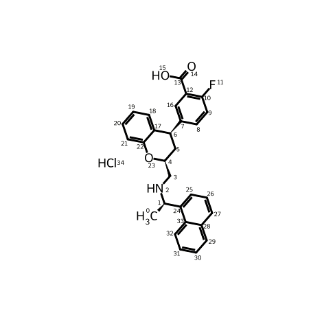 C[C@@H](NC[C@@H]1C[C@H](c2ccc(F)c(C(=O)O)c2)c2ccccc2O1)c1cccc2ccccc12.Cl